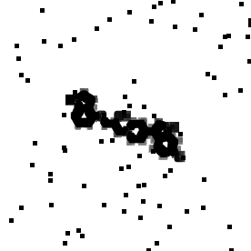 O[C@H](COc1cccc2[nH]ccc12)CN1CC=C(c2c[nH]c3cc(Cl)ccc23)CC1